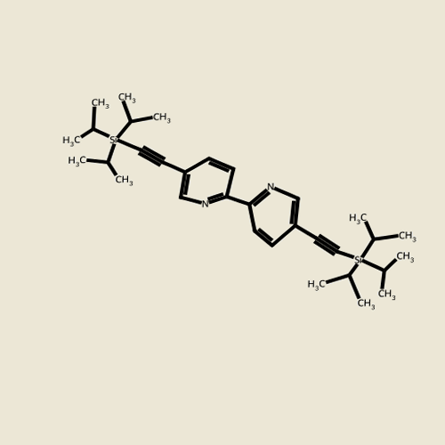 CC(C)[Si](C#Cc1ccc(-c2ccc(C#C[Si](C(C)C)(C(C)C)C(C)C)cn2)nc1)(C(C)C)C(C)C